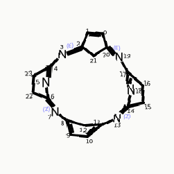 C1=CC2=N/C3=NC(=N\C4=CC=C(C4)/N=C4/CCC(=N4)/N=C/1C\2)/CC3